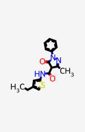 CCc1csc(NC(=O)C2C(=O)N(c3ccccc3)N=C2C)c1